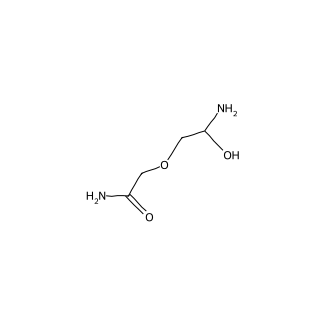 NC(=O)COCC(N)O